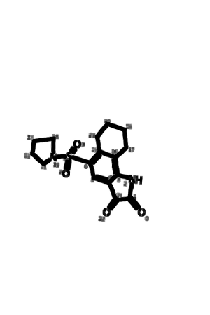 O=C1Nc2c(cc(S(=O)(=O)N3CCCC3)c3c2CCCC3)C1=O